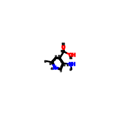 CNc1cnc(C)cc1C(=O)O